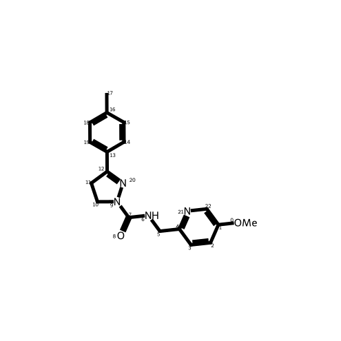 COc1ccc(CNC(=O)N2CCC(c3ccc(C)cc3)=N2)nc1